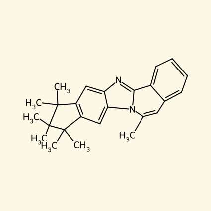 Cc1cc2ccccc2c2nc3cc4c(cc3n12)C(C)(C)C(C)(C)C4(C)C